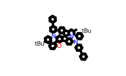 Cc1cnc2c(c1)-c1ccccc1C21c2cc(N(c3ccc(-c4ccccc4)cc3)c3ccc(C(C)(C)C)cc3)ccc2-c2c1cc(N(c1ccc(-c3ccccc3)cc1)c1ccc(C(C)(C)C)cc1)c1c2oc2ccccc21